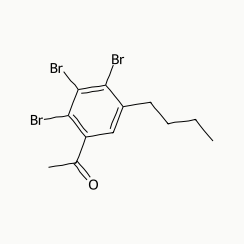 CCCCc1cc(C(C)=O)c(Br)c(Br)c1Br